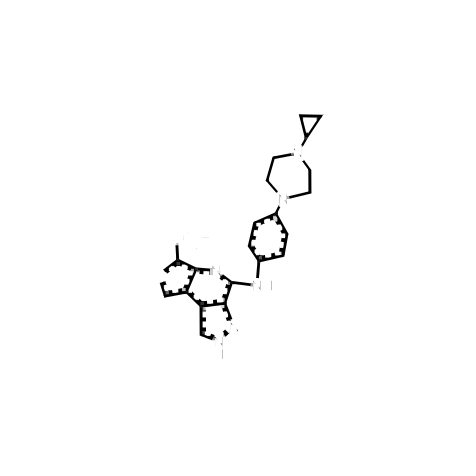 O=C(O)c1scc2c1nc(Nc1ccc(N3CCN(C4CC4)CC3)cc1)c1n[nH]cc12